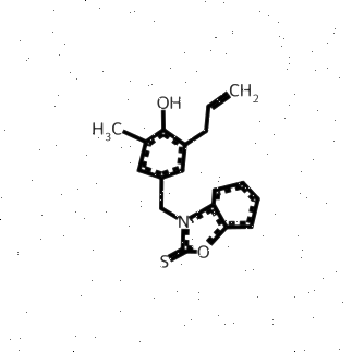 C=CCc1cc(Cn2c(=S)oc3ccccc32)cc(C)c1O